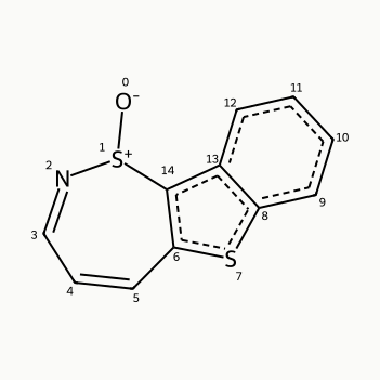 [O-][S+]1N=CC=Cc2sc3ccccc3c21